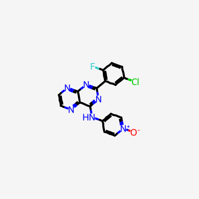 [O-][n+]1ccc(Nc2nc(-c3cc(Cl)ccc3F)nc3nccnc23)cc1